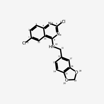 Clc1ccc2nc(Cl)nc(NCc3ccc4c(c3)OCO4)c2c1